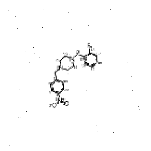 O=[N+]([O-])c1ccc(CN2CCN(Cc3ccccc3F)CC2)cc1